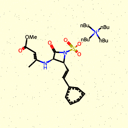 CCCC[N+](CCCC)(CCCC)CCCC.COC(=O)C=C(C)N[C@H]1C(=O)N(S(=O)(=O)[O-])[C@H]1C=Cc1ccccc1